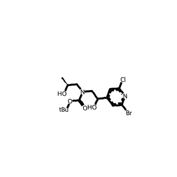 C[C@H](O)CN(CC(O)c1cc(Cl)nc(Br)c1)C(=O)OC(C)(C)C